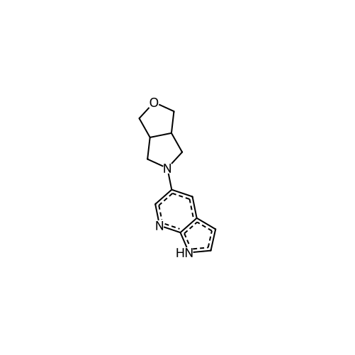 c1cc2cc(N3CC4COCC4C3)cnc2[nH]1